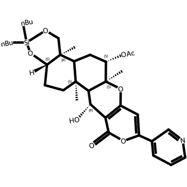 CCCC[Si]1(CCCC)OC[C@@]2(C)C3C[C@H](OC(C)=O)[C@@]4(C)Oc5cc(-c6cccnc6)oc(=O)c5[C@H](O)C4[C@@]3(C)CC[C@@H]2O1